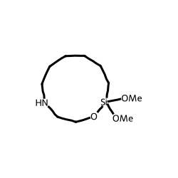 CO[Si]1(OC)CCCCCCNCCO1